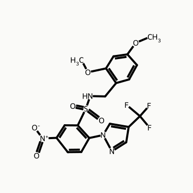 COc1ccc(CNS(=O)(=O)c2cc([N+](=O)[O-])ccc2-n2cc(C(F)(F)F)cn2)c(OC)c1